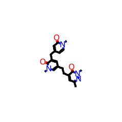 Cc1cc(CCc2cc(Cc3ccn(C)c(=O)c3)c(=O)n(C)c2)c(=O)n(C)n1